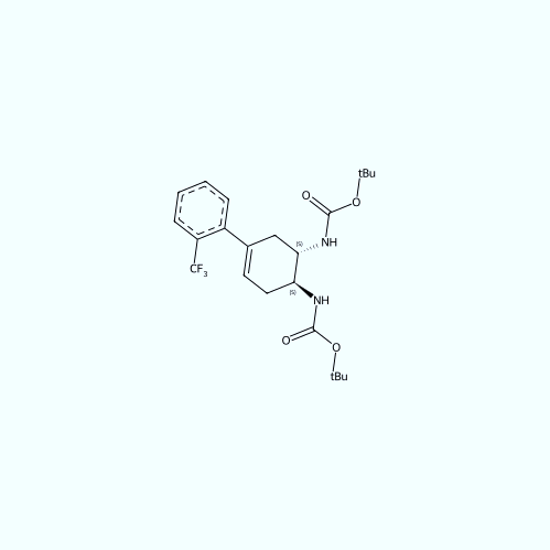 CC(C)(C)OC(=O)N[C@H]1CC=C(c2ccccc2C(F)(F)F)C[C@@H]1NC(=O)OC(C)(C)C